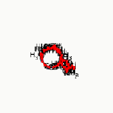 CC(=O)N1CCCC/C=C\CCCCCC/C=C/CCCOC(=O)N2CC[C@@H](C2)NC(=O)[C@H](CCCCNC(=O)CC[C@H](NC(=O)[C@H](Cc2csc3ccccc23)NC(=O)[C@H](Cc2ccsc2)NC=O)C(=O)N[C@@H](C)C(N)=O)NC(=O)[C@H](Cc2ccccc2)NC(=O)[C@H](C)NC(=O)C2(CCCC2)NC(=O)[C@H](Cc2cccc(C(=O)O)c2)NC(=O)[C@H](CC(=O)O)NC(=O)NC(O)[C@H](CC(C)(C)C)NC(=O)[C@H](CC(=O)O)NC1=O